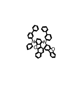 c1ccc(-c2cccc(N(c3ccccc3)c3ccc(N(c4cccc(-c5ccccc5)c4)c4ccc5c(c4)oc4ccccc45)c4c3oc3c5ccccc5ccc34)c2)cc1